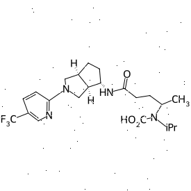 CC(C)N(C(=O)O)C(C)CCC(=O)N[C@H]1CC[C@@H]2CN(c3ccc(C(F)(F)F)cn3)C[C@@H]21